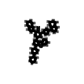 c1ccc(-c2ccc(-c3ccc(C4=NC(c5ccc(-c6cccc7ccccc67)cc5)NC(c5ccc6ccccc6c5)=N4)c4c3oc3ccccc34)cc2)cc1